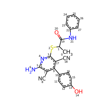 CC(Sc1nc(N)c(C#N)c(-c2ccc(O)cc2)c1C#N)C(=O)Nc1ccccc1